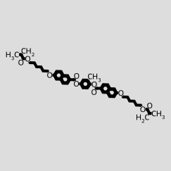 C=C(C)C(=O)OCCCCCCOc1ccc2cc(C(=O)Oc3ccc(OC(=O)c4ccc5cc(OCCCCCCOC(=O)C(=C)C)ccc5c4)c(C)c3)ccc2c1